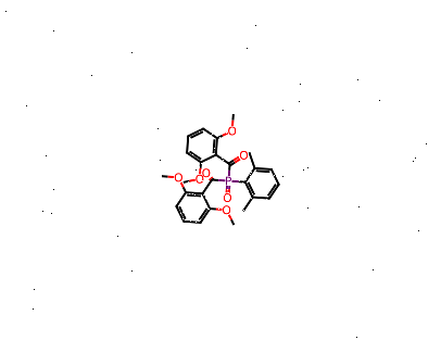 COc1cccc(OC)c1C(=O)P(=O)(C(=O)c1c(OC)cccc1OC)c1c(C)cccc1C